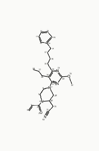 C=CC(=O)N1CCN(c2nc(OC)nc(CCCCc3ccccc3)c2CCC)CC1CC#N